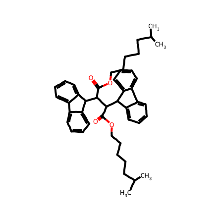 CC(C)CCCCCOC(=O)C(C1c2ccccc2-c2ccccc21)C(C(=O)OCCCCCC(C)C)C1c2ccccc2-c2ccccc21